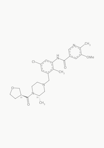 COc1cc(C(=O)Nc2cc(Cl)cc(CN3CCN(C(=O)[C@H]4CCOC4)[C@@H](C)C3)c2C)cnc1C